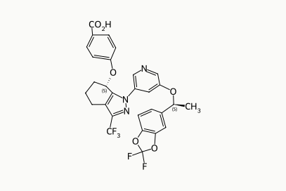 C[C@H](Oc1cncc(-n2nc(C(F)(F)F)c3c2[C@@H](Oc2ccc(C(=O)O)cc2)CCC3)c1)c1ccc2c(c1)OC(F)(F)O2